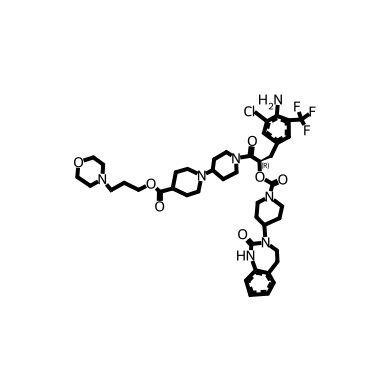 Nc1c(Cl)cc(C[C@@H](OC(=O)N2CCC(N3CCc4ccccc4NC3=O)CC2)C(=O)N2CCC(N3CCC(C(=O)OCCCN4CCOCC4)CC3)CC2)cc1C(F)(F)F